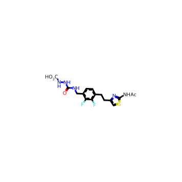 CC(=O)Nc1nc(CCc2ccc(CNC(=O)NNC(=O)O)c(F)c2F)cs1